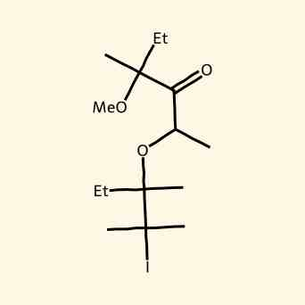 CCC(C)(OC)C(=O)C(C)OC(C)(CC)C(C)(C)I